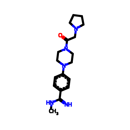 CNC(=N)c1ccc(N2CCN(C(=O)CN3CCCC3)CC2)cc1